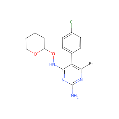 CCc1nc(N)nc(NOC2CCCCO2)c1-c1ccc(Cl)cc1